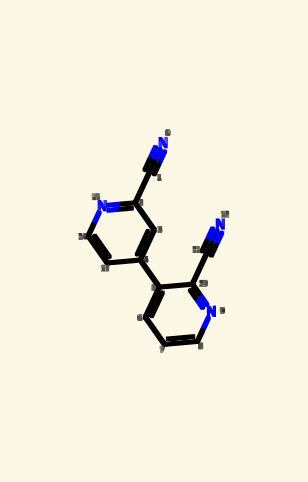 N#Cc1cc(-c2cccnc2C#N)ccn1